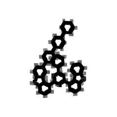 c1ccc(-c2ccc(-c3ccc(-c4ccc5sc6cccc(-c7nc(-c8ccccc8)cc(-c8cccc9oc%10ccccc%10c89)n7)c6c5c4)cc3)cc2)cc1